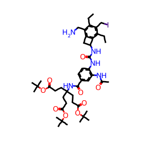 CCc1c(CI)c(CC)c2c(c1CN)CC2NC(=O)Nc1ccc(C(=O)NC(CCC(=O)OC(C)(C)C)(CCC(=O)OC(C)(C)C)CCC(=O)OC(C)(C)C)cc1NC(C)=O